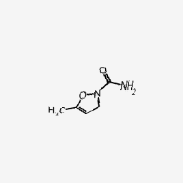 CC1=CCN(C(N)=O)O1